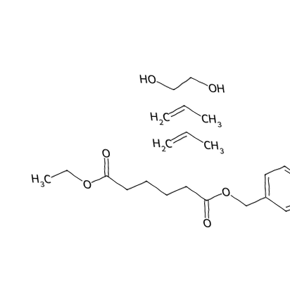 C=CC.C=CC.CCOC(=O)CCCCC(=O)OCc1ccccc1.OCCO